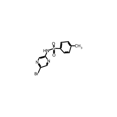 Cc1ccc(S(=O)(=O)Nc2cnc(Br)cn2)cc1